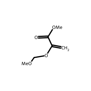 C=C(OCOC)C(=O)OC